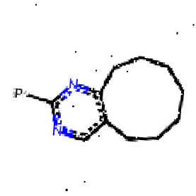 CC(C)c1ncc2c(n1)CCCCCCC2